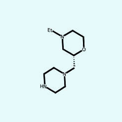 CCN1CCO[C@H](CN2CCNCC2)C1